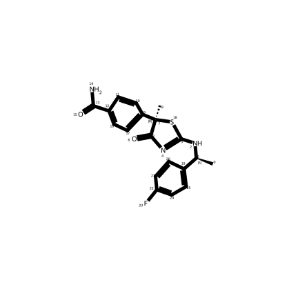 C[C@H](NC1=NC(=O)[C@@](C)(c2ccc(C(N)=O)cc2)S1)c1ccc(F)cc1